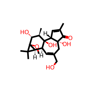 CO[C@@]12[C@H](O)[C@@H](C)[C@@]3(O)[C@@H](C=C(CO)C[C@]4(O)C(=O)C(C)=C[C@@H]34)[C@H]1C2(C)C